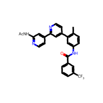 CC(=O)Nc1cc(-c2cc(-c3cc(NC(=O)c4cccc(C(F)(F)F)c4)ccc3C)ccn2)ccn1